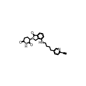 C#Cc1ccc(CCCCNc2cccc3c2CN(C2CCC(=O)NC2=O)C3=O)cn1